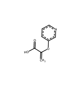 C=C(Oc1cccnc1)C(=O)O